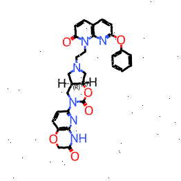 O=C1COc2ccc(N3C[C@H]4CN(CCn5c(=O)ccc6ccc(Oc7ccccc7)nc65)C[C@@H]4OC3=O)nc2N1